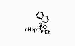 CCCCCCCP(=O)(OCC)Oc1cccc2ccccc12